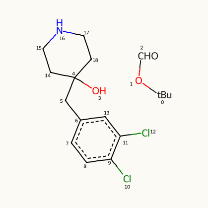 CC(C)(C)OC=O.OC1(Cc2ccc(Cl)c(Cl)c2)CCNCC1